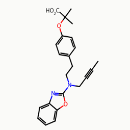 CC#CCN(CCc1ccc(OC(C)(C)C(=O)O)cc1)c1nc2ccccc2o1